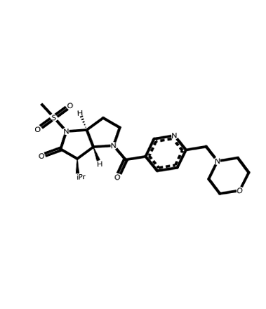 CC(C)[C@H]1C(=O)N(S(C)(=O)=O)[C@H]2CCN(C(=O)c3ccc(CN4CCOCC4)nc3)[C@H]12